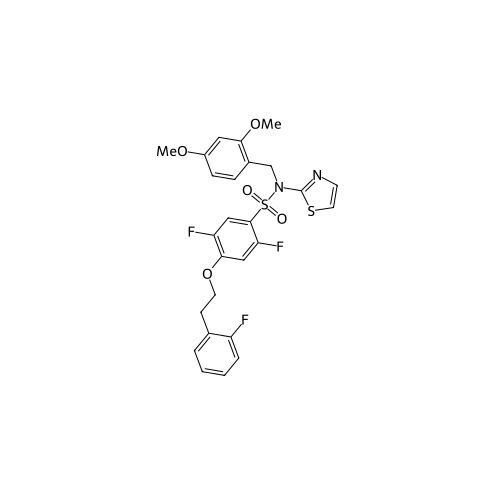 COc1ccc(CN(c2nccs2)S(=O)(=O)c2cc(F)c(OCCc3ccccc3F)cc2F)c(OC)c1